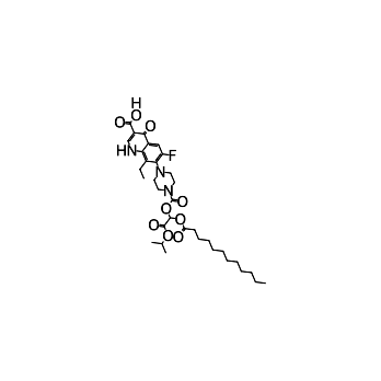 CCCCCCCCCCCC(=O)OC(OC(=O)N1CCN(c2c(F)cc3c(=O)c(C(=O)O)c[nH]c3c2CC)CC1)C(=O)OC(C)C